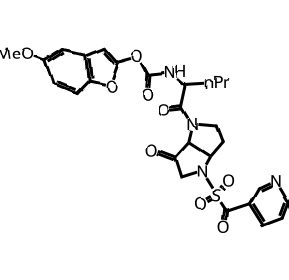 CCCC(NC(=O)Oc1cc2cc(OC)ccc2o1)C(=O)N1CCC2C1C(=O)CN2S(=O)(=O)C(=O)c1cccnc1